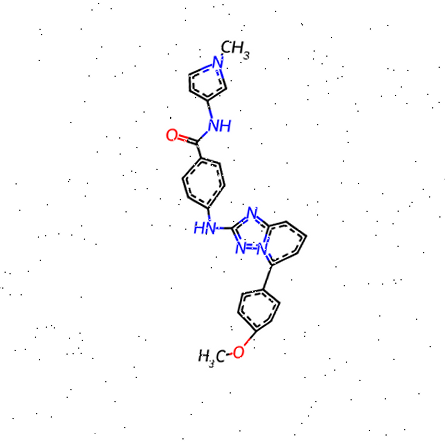 COc1ccc(-c2cccc3nc(Nc4ccc(C(=O)Nc5ccn(C)c5)cc4)nn23)cc1